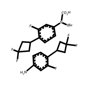 CC(C)(C)N(C(=O)O)c1ccc(C2CC(F)(F)C2)c(F)c1.Nc1ccc(C2CC(F)(F)C2)c(F)c1